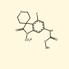 CC(C)(C)OC(=O)Nc1cc(F)c2c(c1)N(C(=O)O)C(=O)C21CCOCC1